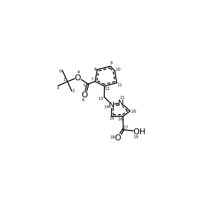 CC(C)(C)OC(=O)c1ccccc1Cn1cc(C(=O)O)cn1